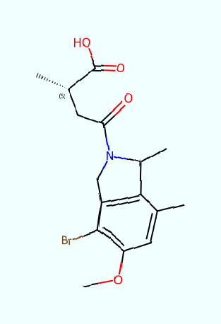 COc1cc(C)c2c(c1Br)CN(C(=O)C[C@H](C)C(=O)O)C2C